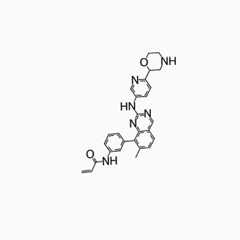 C=CC(=O)Nc1cccc(-c2c(C)ccc3cnc(Nc4ccc(C5CNCCO5)nc4)nc23)c1